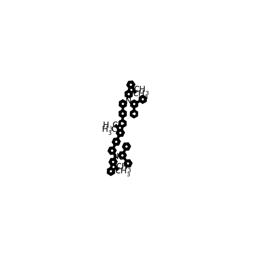 CC1(C)c2ccccc2-c2ccc(N(c3cccc(-c4ccc(C5=CC=C6c7ccc(-c8ccc(-c9cccc(N(c%10cc(-c%11ccccc%11)cc(-c%11ccccc%11)c%10)c%10ccc%11c(c%10)C(C)(C)c%10ccccc%10-%11)c9)cc8)cc7C(C)(C)C6C5)cc4)c3)c3cc(C4=CC=CCC4)cc(-c4ccccc4)c3)cc21